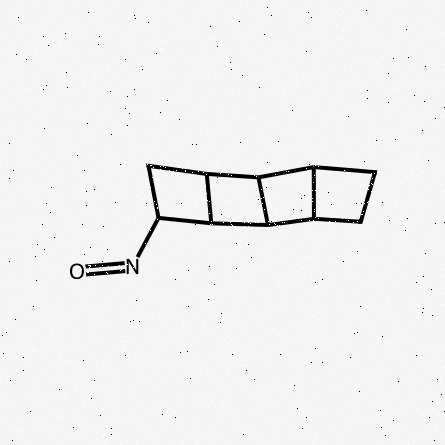 O=NC1CC2C1C1C3CCC3C21